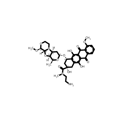 COc1cccc2c1C(=O)c1c(O)c3c(c(O)c1C2=O)C[C@@](O)(C(=O)N(C)CCN)C[C@@H]3O[C@H]1C[C@H]2[C@H](O[C@@H]3[C@@H](OC)OCCN32)[C@H](C)O1